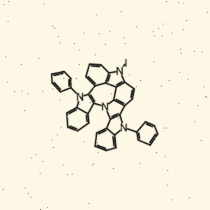 In1c2cccc3c2c2c1ccc1c4c(c5ccccc5n4-c4ccccc4)n(c12)c1c2ccccc2n(-c2ccccc2)c31